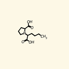 CCCCC(C(=O)O)N1CCCC1C(=O)O